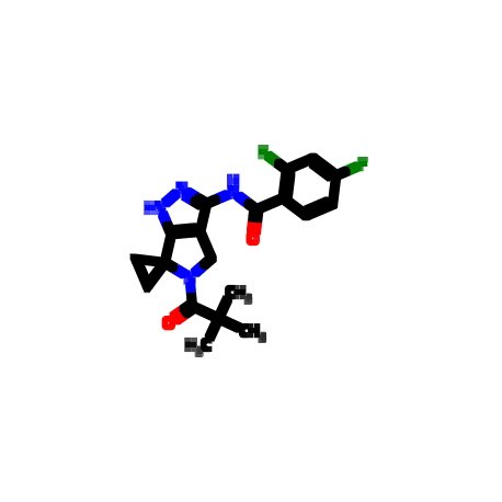 CC(C)(C)C(=O)N1Cc2c(NC(=O)c3ccc(F)cc3F)n[nH]c2C12CC2